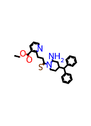 CCOC(=O)c1cccnc1CCC(=S)N1CCC(C(c2ccccc2)c2ccccc2)CC1N